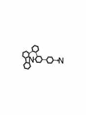 N#Cc1ccc(-c2ccc3c(c2)-c2ccccc2-c2cccc4c5ccccc5n-3c24)cc1